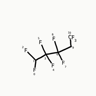 FC(F)C(F)(F)C(F)(F)CC(F)(F)F